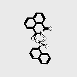 O=C1c2cccc3cccc(c23)C(=O)N1OS(=O)(=O)c1cccc2ccccc12